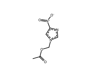 CC(=O)OCn1cnc([N+](=O)[O-])c1